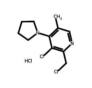 Cc1cnc(CCl)c(Cl)c1N1CCCC1.Cl